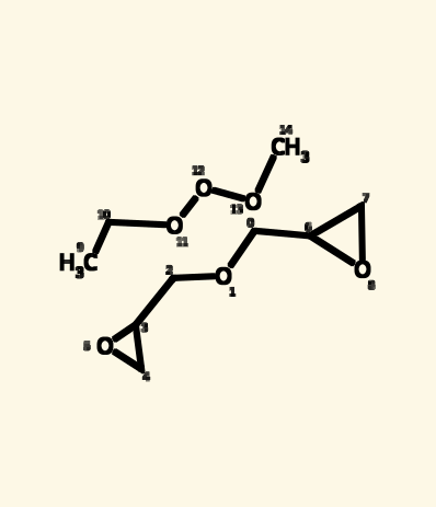 C(OCC1CO1)C1CO1.CCOOOC